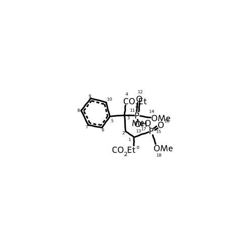 CCOC(=O)C(CC(C(=O)OCC)(c1ccccc1)P(=O)(O)OC)P(=O)(OC)OC